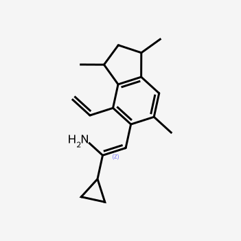 C=Cc1c(/C=C(\N)C2CC2)c(C)cc2c1C(C)CC2C